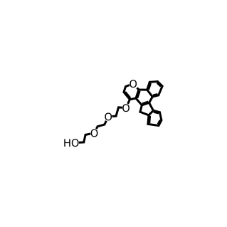 OCCOCCOCCOC1=CCOc2c1c1c(c3ccccc23)-c2ccccc2C1